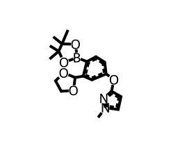 Cn1ccc(Oc2ccc(B3OC(C)(C)C(C)(C)O3)c(C3OCCO3)c2)n1